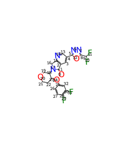 O=C1c2cc(-c3nnc(C(F)F)o3)cnc2CN1C1COCCC1Oc1ccc(F)c(F)c1